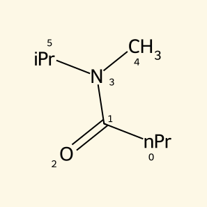 CCCC(=O)N(C)C(C)C